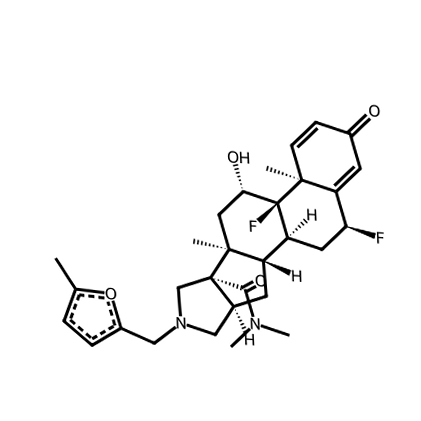 Cc1ccc(CN2C[C@@H]3C[C@H]4[C@@H]5C[C@H](F)C6=CC(=O)C=C[C@]6(C)[C@@]5(F)[C@@H](O)C[C@]4(C)[C@]3(C(=O)N(C)C)C2)o1